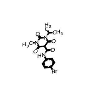 CC(C)N1C(=O)C(C(=O)Nc2ccc(Br)cc2)C(=O)N(C)C1=O